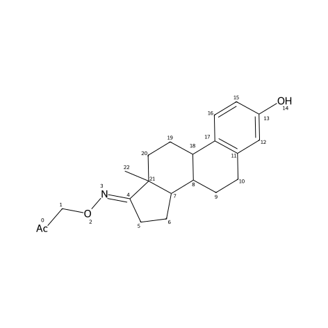 CC(=O)CO/N=C1\CCC2C3CCc4cc(O)ccc4C3CCC12C